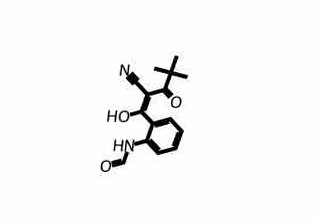 CC(C)(C)C(=O)C(C#N)=C(O)c1ccccc1NC=O